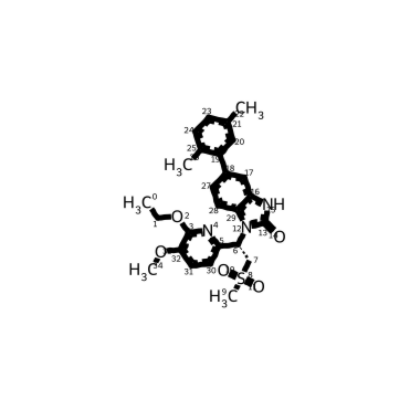 CCOc1nc([C@@H](CS(C)(=O)=O)n2c(=O)[nH]c3cc(-c4cc(C)ccc4C)ccc32)ccc1OC